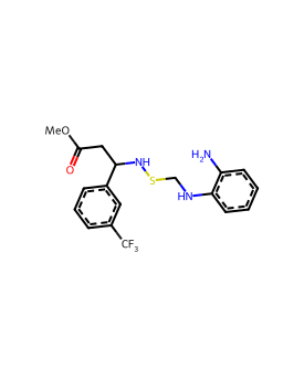 COC(=O)CC(NSCNc1ccccc1N)c1cccc(C(F)(F)F)c1